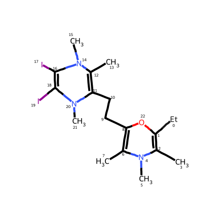 CCC1=C(C)N(C)C(C)=C(CCC2=C(C)N(C)C(I)=C(I)N2C)O1